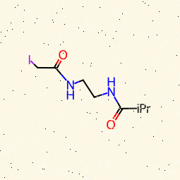 CC(C)C(=O)NCCNC(=O)CI